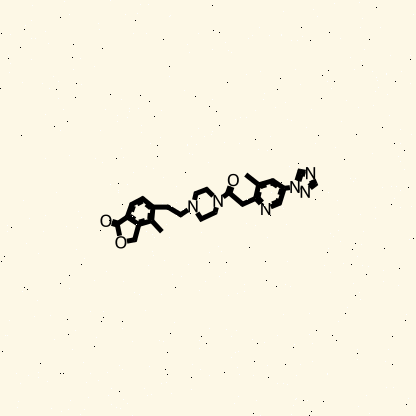 Cc1cc(-n2cncn2)cnc1CC(=O)N1CCN(CCc2ccc3c(c2C)COC3=O)CC1